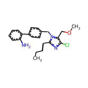 CCCCc1nc(Cl)c(COC)n1Cc1ccc(-c2ccccc2N)cc1